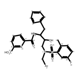 CC(=O)CN(CC(O)C(Cc1ccccc1)NC(=O)c1cccc(C(=O)O)n1)S(=O)(=O)c1cc(F)ccc1C